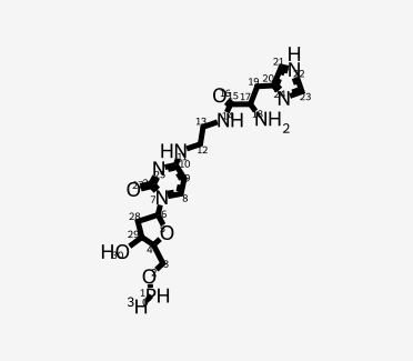 [3H]POCC1OC(n2ccc(NCCNC(=O)C(N)Cc3c[nH]cn3)nc2=O)CC1O